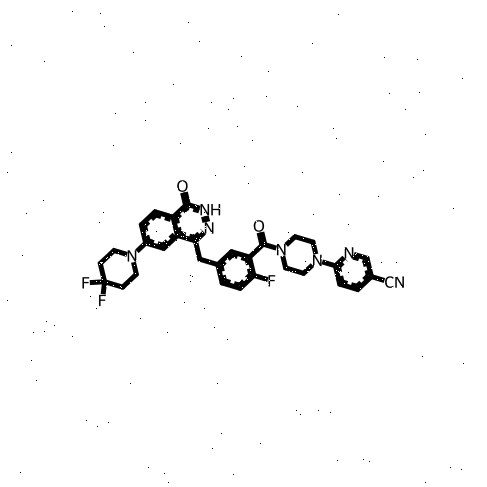 N#Cc1ccc(N2CCN(C(=O)c3cc(Cc4n[nH]c(=O)c5ccc(N6CCC(F)(F)CC6)cc45)ccc3F)CC2)nc1